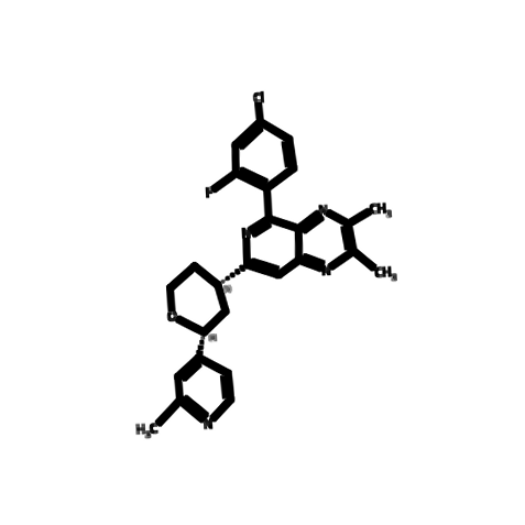 Cc1cc([C@H]2C[C@@H](c3cc4nc(C)c(C)nc4c(-c4ccc(Cl)cc4F)n3)CCO2)ccn1